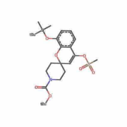 CC(C)(C)OC(=O)N1CCC2(C=C(OS(C)(=O)=O)c3cccc(O[Si](C)(C)C(C)(C)C)c3O2)CC1